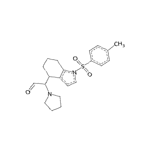 Cc1ccc(S(=O)(=O)n2ccc3c2CCCC3C(C=O)N2CCCC2)cc1